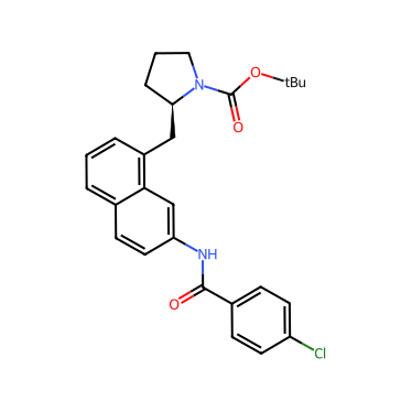 CC(C)(C)OC(=O)N1CCC[C@@H]1Cc1cccc2ccc(NC(=O)c3ccc(Cl)cc3)cc12